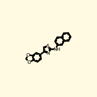 c1ccc2cc(Nc3nc(-c4ccc5c(c4)OCO5)cs3)ccc2c1